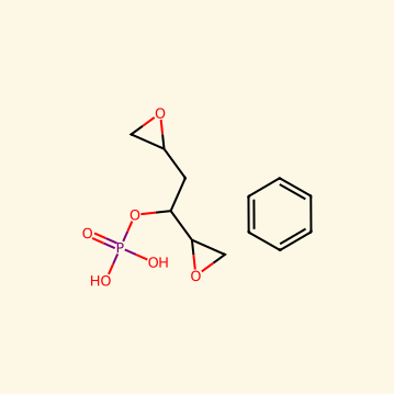 O=P(O)(O)OC(CC1CO1)C1CO1.c1ccccc1